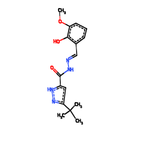 COc1cccc(C=NNC(=O)c2cc(C(C)(C)C)n[nH]2)c1O